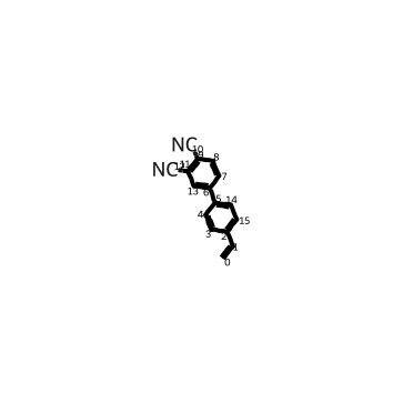 C=Cc1ccc(-c2ccc(C#N)c(C#N)c2)cc1